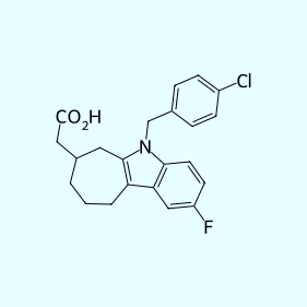 O=C(O)CC1CCCc2c(n(Cc3ccc(Cl)cc3)c3ccc(F)cc23)C1